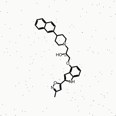 Cc1cc(-c2cc3c(OC[C@@H](O)CN4CCC(c5ccc6ccccc6c5)CC4)cccc3[nH]2)on1